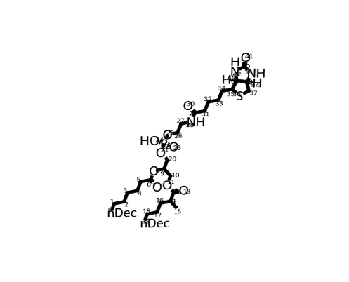 CCCCCCCCCCCCCCCC(=O)OC(COC(=O)C(C)CCCCCCCCCCCCC)COP(=O)(O)OCCNC(=O)CCCCC1SC[C@@H]2NC(=O)N[C@H]12